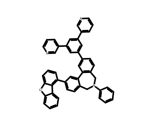 c1ccc(N2Cc3ccc(-c4cc(-c5cccnc5)cc(-c5cccnc5)c4)cc3-c3cc(-c4cccc5oc6ccccc6c45)ccc3C2)cc1